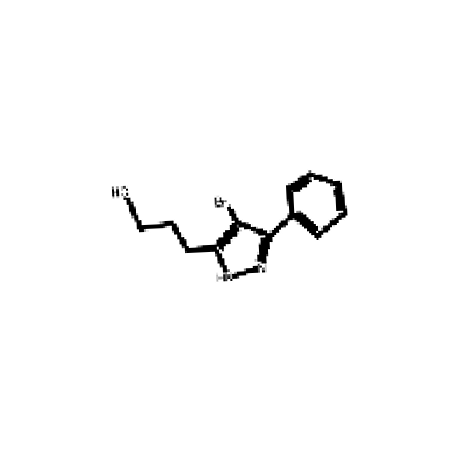 OCCCc1[nH]nc(-c2ccccc2)c1Br